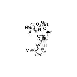 CCS(=O)(=O)C(=O)N(CC(=O)[C@H](CC(C)C)NC(=O)c1cc2c(OC)cccc2[nH]1)C[C@@H]1CCNC1=O